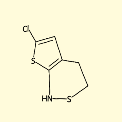 Clc1cc2c(s1)NSCC2